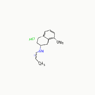 C/C=C\NC1CCc2cccc(OC)c2C1.Cl